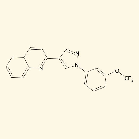 FC(F)(F)Oc1cccc(-n2cc(-c3ccc4ccccc4n3)cn2)c1